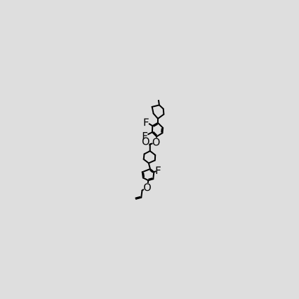 C=CCOc1ccc(C2CCC(C(=O)Oc3ccc(C4CCC(C)CC4)c(F)c3F)CC2)c(F)c1